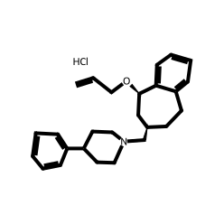 C=CCO[C@@H]1C[C@H](CN2CCC(c3ccccc3)CC2)CCc2ccccc21.Cl